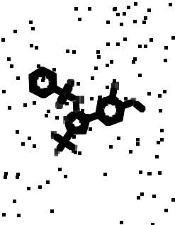 CSc1ccc(-c2cc(C(F)(F)F)nn2NS(=O)(=O)c2ccccc2)cc1Cl